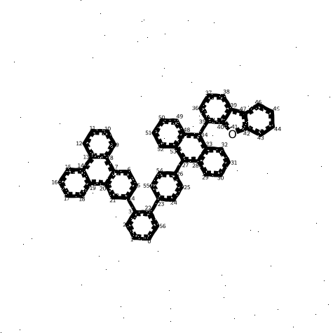 c1ccc(-c2ccc3c4ccccc4c4ccccc4c3c2)c(-c2ccc(-c3c4ccccc4c(-c4cccc5c4oc4ccccc45)c4ccccc34)cc2)c1